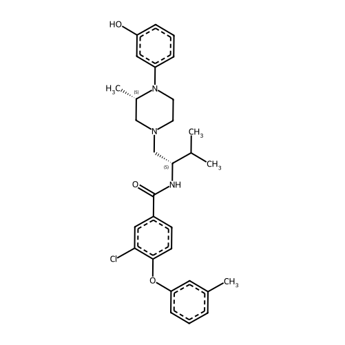 Cc1cccc(Oc2ccc(C(=O)N[C@H](CN3CCN(c4cccc(O)c4)[C@@H](C)C3)C(C)C)cc2Cl)c1